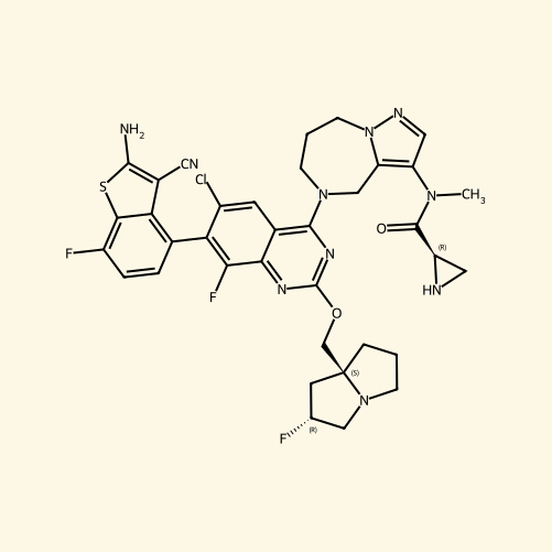 CN(C(=O)[C@H]1CN1)c1cnn2c1CN(c1nc(OC[C@@]34CCCN3C[C@H](F)C4)nc3c(F)c(-c4ccc(F)c5sc(N)c(C#N)c45)c(Cl)cc13)CCC2